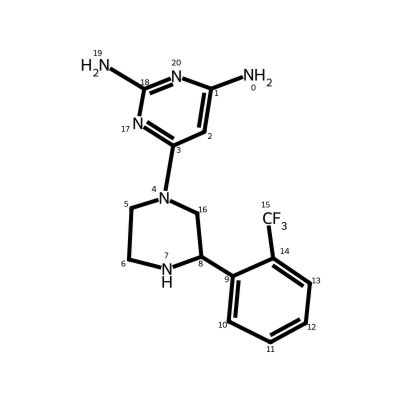 Nc1cc(N2CCNC(c3ccccc3C(F)(F)F)C2)nc(N)n1